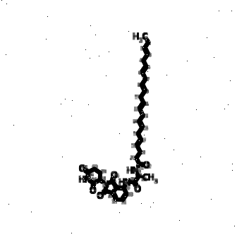 CCC=CCC=CCC=CCC=CCC=CCC=CCCC(=O)N[C@@H](C)C(=O)Nc1cccc2c1C(=O)N(C1CCC(=O)NC1=O)C2=O